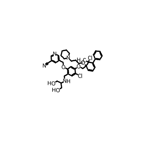 CC1(Cl)C(c2ccccc2)=CC=CC1(COc1cc(OCc2cncc(C#N)c2)c(CNC(CO)CO)cc1Cl)OCCCN1CCCCC1